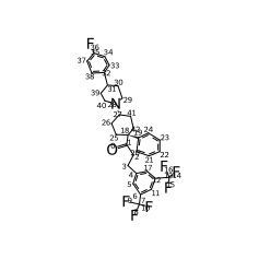 O=C(CCc1cc(C(F)(F)F)cc(C(F)(F)F)c1)[C@]1(c2ccccc2)CC[C@H](N2CCC(c3ccc(F)cc3)CC2)CC1